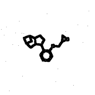 c1ccc(C2CCC3C4CC(C4)CC23)c(OCC2CO2)c1